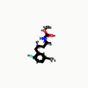 C[C@@H](Cc1cc(C(F)(F)F)ccc1F)C[C@H](C)NC(=O)OC(C)(C)C